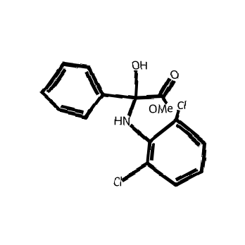 COC(=O)C(O)(Nc1c(Cl)cccc1Cl)c1ccccc1